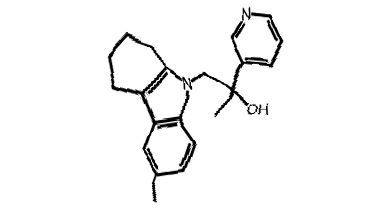 Cc1ccc2c(c1)c1c(n2CC(C)(O)c2cccnc2)CCCC1